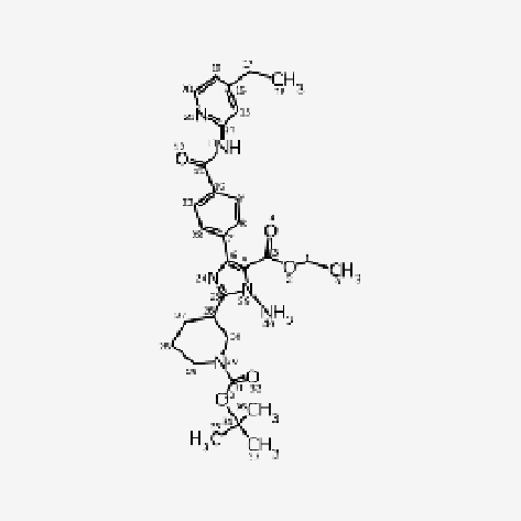 CCOC(=O)c1c(-c2ccc(C(=O)Nc3cc(CC)ccn3)cc2)nc(C2CCCN(C(=O)OC(C)(C)C)C2)n1N